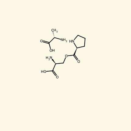 C[C@H](N)C(=O)O.N[C@@H](COC(=O)[C@@H]1CCCN1)C(=O)O